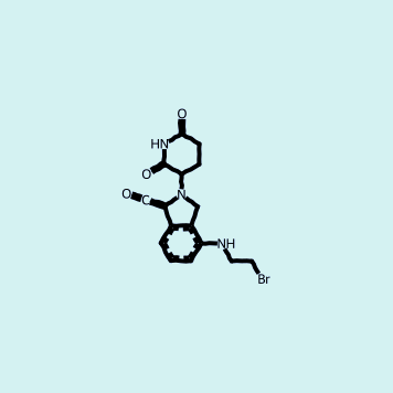 O=C=C1c2cccc(NCCBr)c2CN1C1CCC(=O)NC1=O